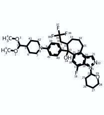 COC(OC)C1CCN(c2ccc(C3(O)c4cc(F)c5c(cnn5C5CCCCO5)c4CCCC3CC(F)(F)F)cc2)CC1